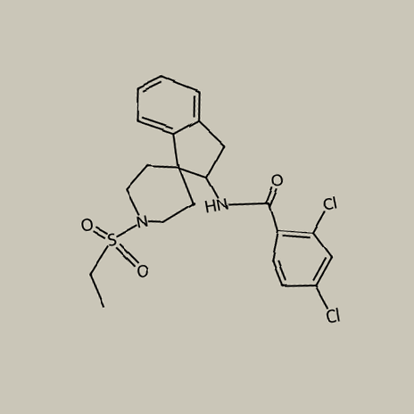 CCS(=O)(=O)N1CCC2(CC1)c1ccccc1CC2NC(=O)c1ccc(Cl)cc1Cl